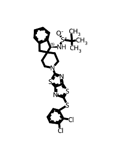 CC(C)(C)[S+]([O-])N[C@@H]1c2ccccc2CC12CCN(c1nc3sc(Sc4cccc(Cl)c4Cl)nc3s1)CC2